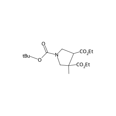 CCOC(=O)C1CN(C(=O)OC(C)(C)C)CC1(C)C(=O)OCC